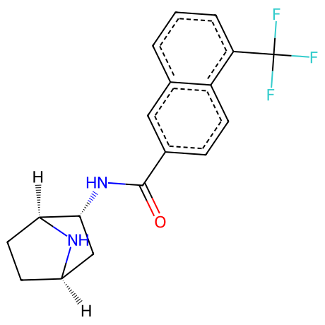 O=C(N[C@@H]1C[C@H]2CC[C@@H]1N2)c1ccc2c(C(F)(F)F)cccc2c1